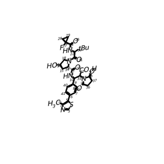 Cc1ncsc1-c1ccc(C(NC(=O)[C@@H]2C[C@@H](O)CN2C(=O)C(NC(=O)C2(F)CC2)C(C)(C)C)C(C(=O)O)N2C(=O)CCC2=O)cc1